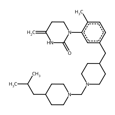 C=C1CCN(c2cc(CC3CCN(CN4CCC(CC(C)C)CC4)CC3)ccc2C)C(=O)N1